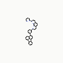 c1ccc(-c2ccc3ccc4ccc(-c5cccc(-c6ccc7c8c(cccc68)-c6ccccc6-7)c5)nc4c3n2)nc1